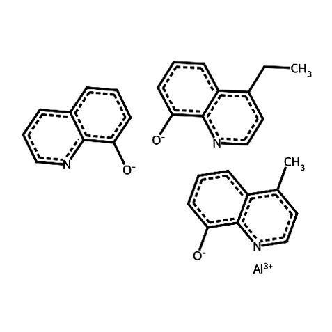 CCc1ccnc2c([O-])cccc12.Cc1ccnc2c([O-])cccc12.[Al+3].[O-]c1cccc2cccnc12